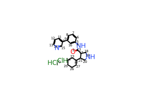 Cl.Cl.O=C(Nc1cccc(-c2cccnc2)c1)C1CNCC1C1CCCCC1